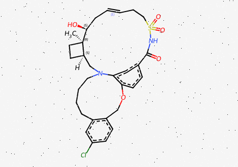 C[C@@]12CC[C@@H]1CN1CCCCc3cc(Cl)ccc3COc3ccc(cc31)C(=O)NS(=O)(=O)CC/C=C/C[C@@H]2O